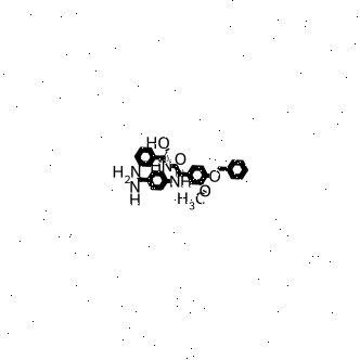 COc1cc([C@H](Nc2ccc(C(=N)N)cc2)C(=O)N[C@@H](CO)c2ccccc2)ccc1OCc1ccccc1